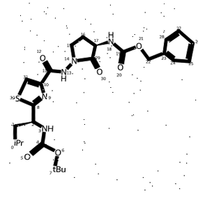 CC(C)C[C@H](NC(=O)OC(C)(C)C)c1nc(C(=O)NN2CC[C@@H](NC(=O)OCc3ccccc3)C2=O)cs1